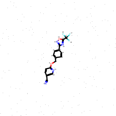 N#Cc1ccc(OCc2ccc(-c3noc(C(F)(F)F)n3)cc2)nc1